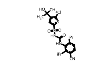 CC(C)c1ccc(C#N)c(C(C)C)c1NC(=O)NS(=O)(=O)c1cc(C(C)(C)O)c(Cl)s1